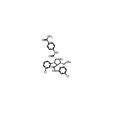 CC(C)(C)C[C@@H]1N[C@@H](C(=O)Nc2ccc(C(N)=O)cc2)[C@H](c2cccc(Cl)c2)[C@]12C(=O)Nc1cc(Cl)ccc12